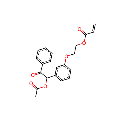 C=CC(=O)OCCOc1cccc(C(OC(C)=O)C(=O)c2ccccc2)c1